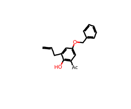 C=CCc1cc(OCc2ccccc2)cc(C(C)=O)c1O